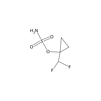 NS(=O)(=O)OC1(C(F)F)CC1